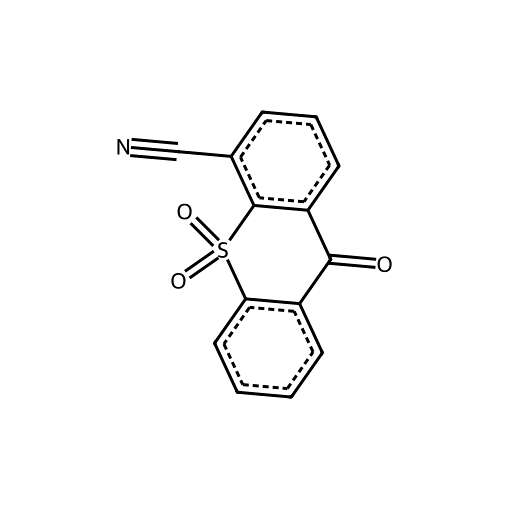 N#Cc1cccc2c1S(=O)(=O)c1ccccc1C2=O